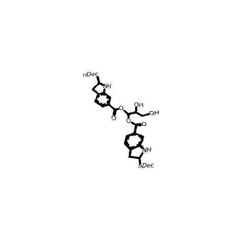 CCCCCCCCCCC1Cc2ccc(C(=O)OC(OC(=O)c3ccc4c(c3)NC(CCCCCCCCCC)C4)C(O)CO)cc2N1